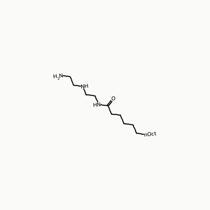 CCCCCCCCCCCCCC(=O)NCCNCCN